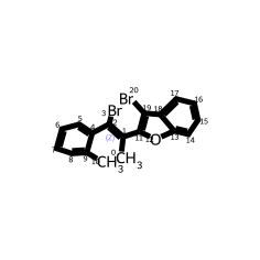 C/C(=C(/Br)c1ccccc1C)c1oc2ccccc2c1Br